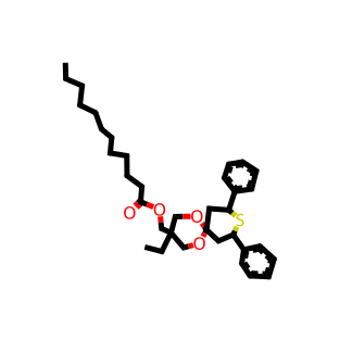 CCCCCCCCCCCC(=O)OCC1(CC)COC2(CC(c3ccccc3)SC(c3ccccc3)C2)OC1